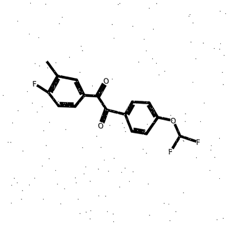 Cc1cc(C(=O)C(=O)c2ccc(OC(F)F)cc2)ccc1F